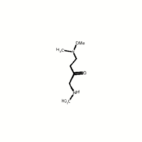 CON(C)CCC(=O)CNC(=O)O